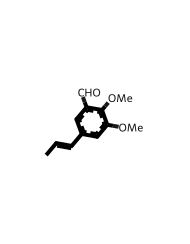 CC=Cc1cc(C=O)c(OC)c(OC)c1